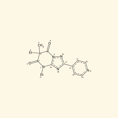 CCN1C(=O)C(C)(CC)C(=O)n2nc(-c3ccncc3)nc21